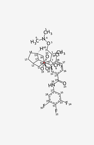 CC(CON(C)C)C(C)[C@]1(O)CC2CC[C@@H](C1)C2S(=O)(=O)c1cc(C(=O)Nc2cc(F)c(F)c(F)c2)ccc1Cl